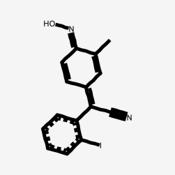 CC1=CC(=C(C#N)c2ccccc2I)C=CC1=NO